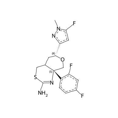 Cn1nc([C@H]2CC3CSC(N)=N[C@@]3(c3ccc(F)cc3F)CO2)cc1F